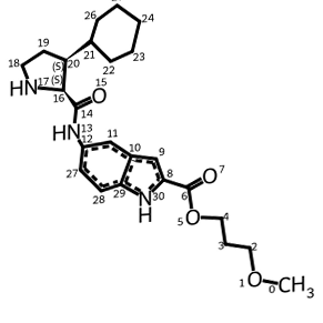 COCCCOC(=O)c1cc2cc(NC(=O)[C@H]3NCC[C@H]3C3CCCCC3)ccc2[nH]1